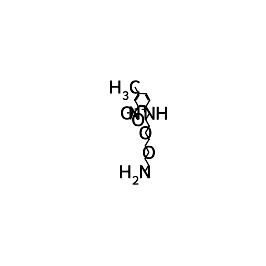 Cc1ccc(NCCOCCOCCN)c([N+](=O)[O-])c1